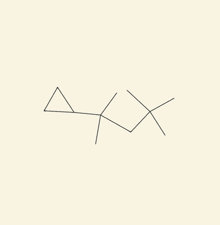 CC(C)(C)CC(C)(C)C1CC1